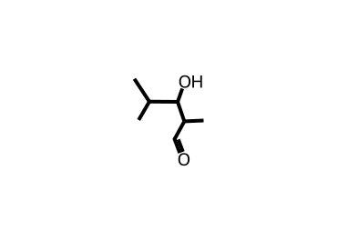 CC(C)C(O)C(C)C=O